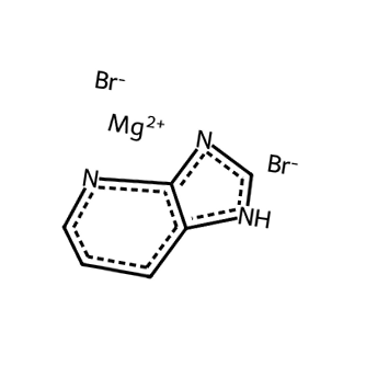 [Br-].[Br-].[Mg+2].c1cnc2nc[nH]c2c1